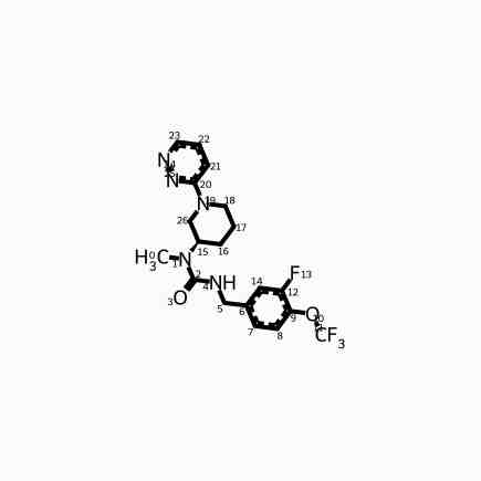 CN(C(=O)NCc1ccc(OC(F)(F)F)c(F)c1)[C@@H]1CCCN(c2cccnn2)C1